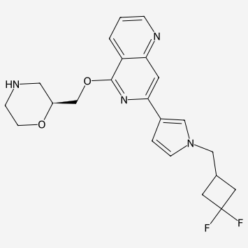 FC1(F)CC(Cn2ccc(-c3cc4ncccc4c(OC[C@@H]4CNCCO4)n3)c2)C1